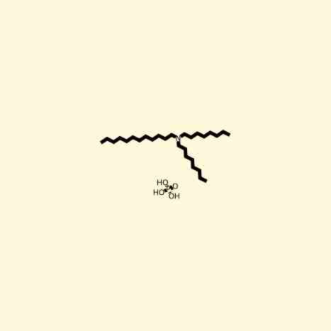 CCCCCCCCCCCCN(CCCCCCCC)CCCCCCCC.O=P(O)(O)O